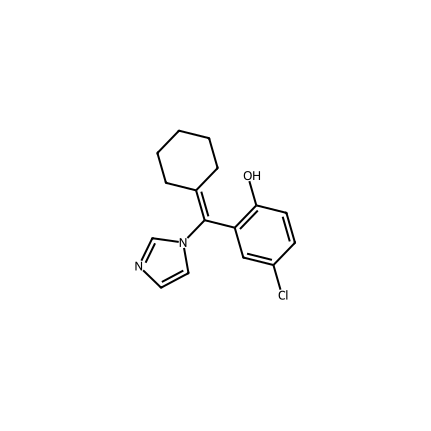 Oc1ccc(Cl)cc1C(=C1CCCCC1)n1ccnc1